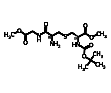 COC(=O)CNC(=O)[C@H](N)CSC[C@H](NC(=O)OC(C)(C)C)C(=O)OC